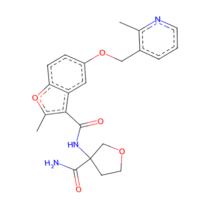 Cc1ncccc1COc1ccc2oc(C)c(C(=O)NC3(C(N)=O)CCOC3)c2c1